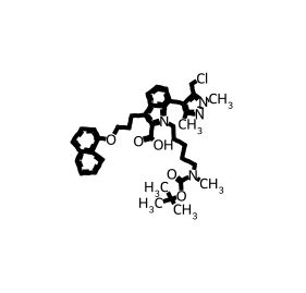 Cc1nn(C)c(CCl)c1-c1cccc2c(CCCOc3cccc4ccccc34)c(C(=O)O)n(CCCCCN(C)C(=O)OC(C)(C)C)c12